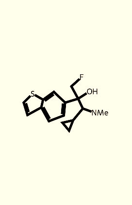 CNC(C1CC1)C(O)(CF)c1ccc2ccsc2c1